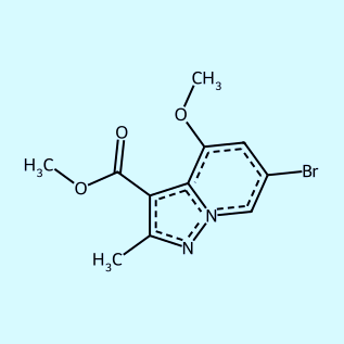 COC(=O)c1c(C)nn2cc(Br)cc(OC)c12